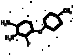 Cc1ccc(Oc2ccc(N)c(N)c2F)cc1